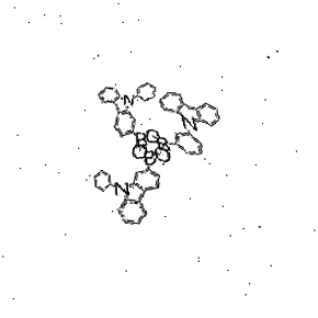 c1ccc(-n2c3ccccc3c3ccc(B4OB(c5cccc(-n6c7ccccc7c7ccccc76)c5)OB(c5ccc6c7ccccc7n(-c7ccccc7)c6c5)O4)cc32)cc1